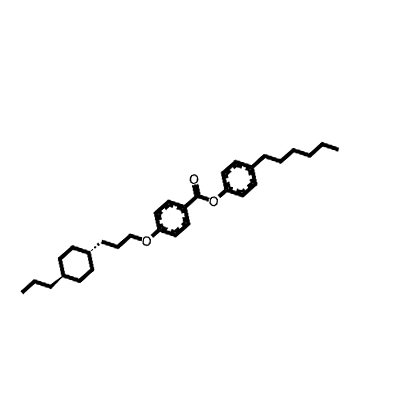 CCCCCCc1ccc(OC(=O)c2ccc(OCCC[C@H]3CC[C@H](CCC)CC3)cc2)cc1